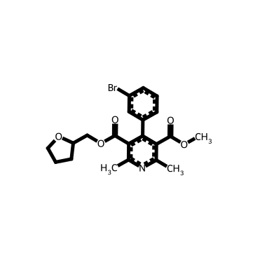 COC(=O)c1c(C)nc(C)c(C(=O)OCC2CCCO2)c1-c1cccc(Br)c1